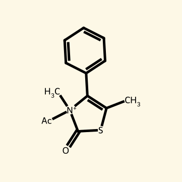 CC(=O)[N+]1(C)C(=O)SC(C)=C1c1ccccc1